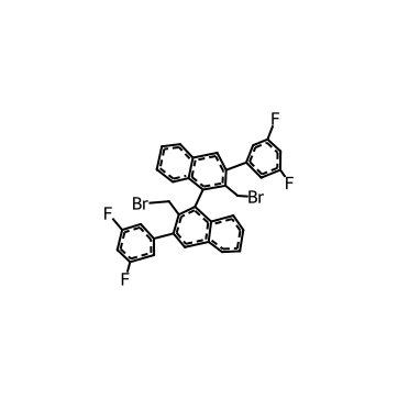 Fc1cc(F)cc(-c2cc3ccccc3c(-c3c(CBr)c(-c4cc(F)cc(F)c4)cc4ccccc34)c2CBr)c1